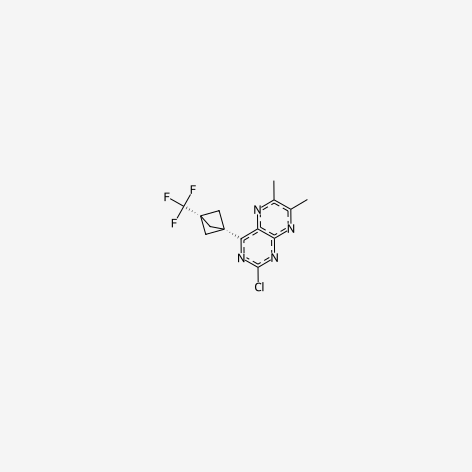 Cc1nc2nc(Cl)nc([C@]34C[C@](C(F)(F)F)(C3)C4)c2nc1C